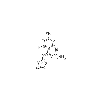 Nc1cc(N[C@H]2CCOC2)c2c(F)cc(Br)cc2n1